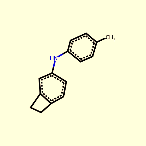 Cc1ccc(Nc2ccc3c(c2)CC3)cc1